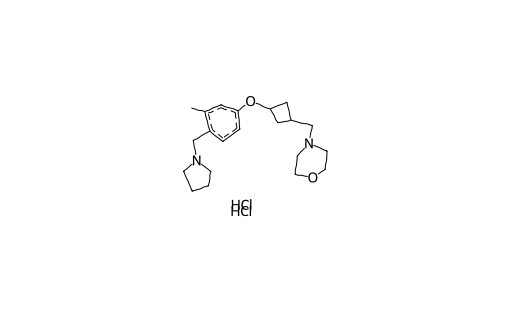 Cc1cc(OC2CC(CN3CCOCC3)C2)ccc1CN1CCCC1.Cl.Cl